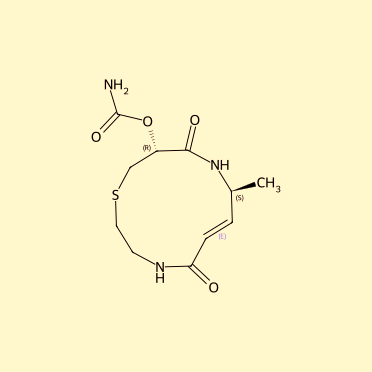 C[C@H]1/C=C/C(=O)NCCSC[C@H](OC(N)=O)C(=O)N1